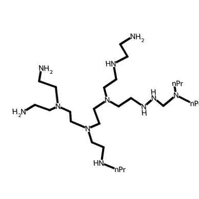 CCCNCCN(CCN(CCN)CCN)CCN(CCNCCN)CCNNCN(CCC)CCC